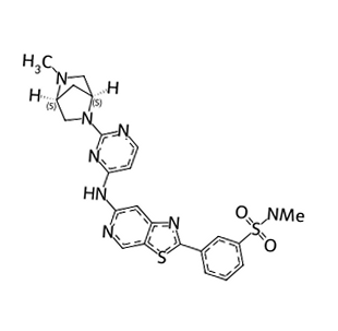 CNS(=O)(=O)c1cccc(-c2nc3cc(Nc4ccnc(N5C[C@@H]6C[C@H]5CN6C)n4)ncc3s2)c1